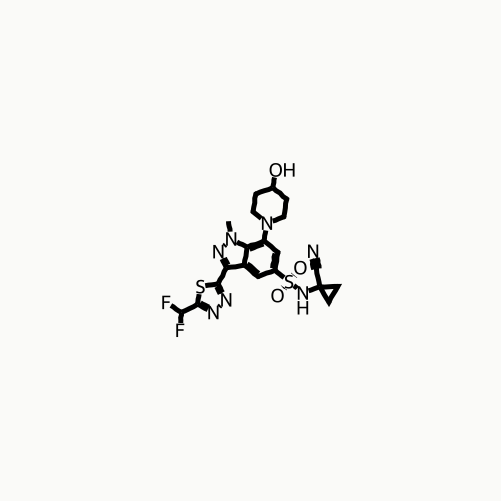 Cn1nc(-c2nnc(C(F)F)s2)c2cc(S(=O)(=O)NC3(C#N)CC3)cc(N3CCC(O)CC3)c21